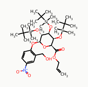 C=CCOC(=O)[C@H]1O[C@@H](Oc2ccc([N+](=O)[O-])cc2CO)[C@H](O[Si](C)(C)C(C)(C)C)[C@@H](O[Si](C)(C)C(C)(C)C)[C@H]1O[Si](C)(C)C(C)(C)C